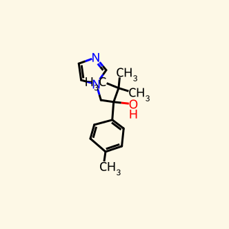 Cc1ccc(C(O)(Cn2ccnc2)C(C)(C)C)cc1